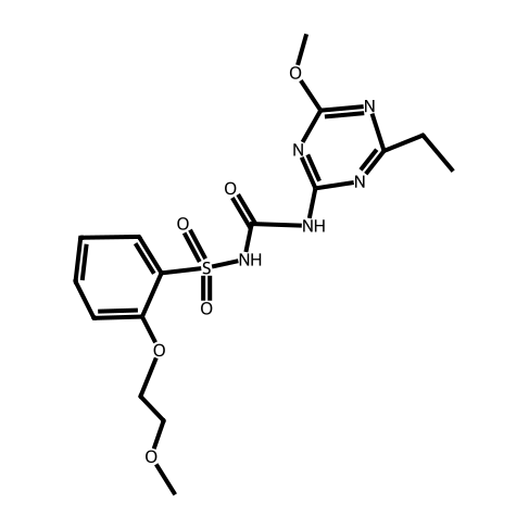 CCc1nc(NC(=O)NS(=O)(=O)c2ccccc2OCCOC)nc(OC)n1